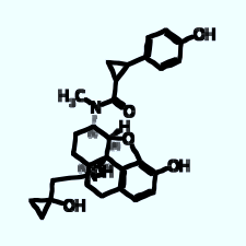 CN(C(=O)C1CC1c1ccc(O)cc1)[C@H]1CC[C@@]2(O)C3Cc4ccc(O)c5c4[C@@]2(CCN3CC2(O)CC2)[C@H]1O5